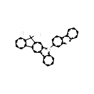 CC1(C)c2ccccc2-c2cc3c4ccccc4n(-c4ccc5c(c4)oc4ccccc45)c3cc21